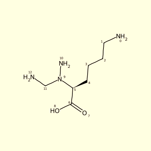 NCCCC[C@@H](C(=O)O)N(N)CN